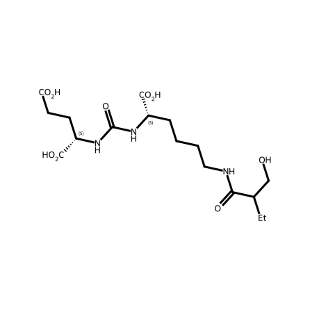 CCC(CO)C(=O)NCCCC[C@H](NC(=O)N[C@@H](CCC(=O)O)C(=O)O)C(=O)O